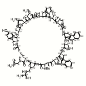 CCCC[C@H]1C(=O)N(C)[C@@H](CCCC)C(=O)N[C@@H](CCCNC(=N)N)C(=O)N[C@H](C(=O)NCC(N)=O)CSCC(=O)N[C@@H](Cc2ccc(O)cc2)C(=O)N(C)[C@@H](C)C(=O)N[C@@H](CC(N)=O)C(=O)N2C[C@@H](N)C[C@H]2C(=O)N[C@@H](Cc2cnc[nH]2)C(=O)N[C@@H](CC(C)C)C(=O)N2CCC[C@H]2C(=O)N[C@@H](Cc2c[nH]c3ccccc23)C(=O)N[C@@H](CO)C(=O)N[C@@H](Cc2csc3ccccc23)C(=O)N1C